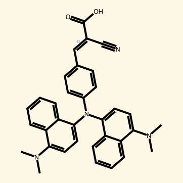 CN(C)c1ccc(N(c2ccc(/C=C(\C#N)C(=O)O)cc2)c2ccc(N(C)C)c3ccccc23)c2ccccc12